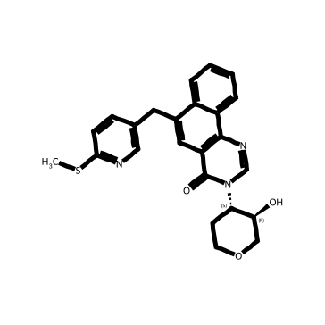 CSc1ccc(Cc2cc3c(=O)n([C@H]4CCOC[C@@H]4O)cnc3c3ccccc23)cn1